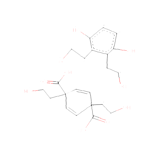 O=C(O)C1(CCO)C=CC(CCO)(C(=O)O)C=C1.OCCc1c(O)ccc(O)c1CCO